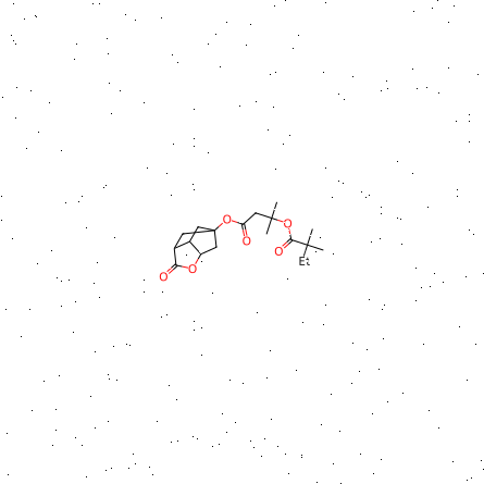 CCC(C)(C)C(=O)OC(C)(C)CC(=O)OC12CC3OC(=O)C(C1)C3C2